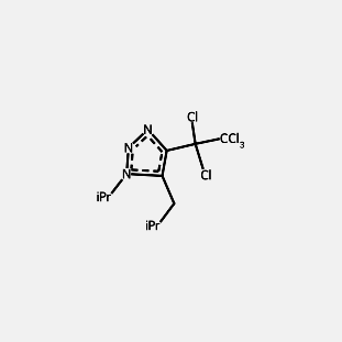 CC(C)Cc1c(C(Cl)(Cl)C(Cl)(Cl)Cl)nnn1C(C)C